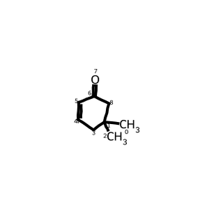 CC1(C)C[C]=CC(=O)C1